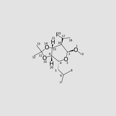 CO[C@H]1O[C@H](CC(C)C)[C@@H]2OC(C)(C)O[C@@H]2[C@H]1C(C)I